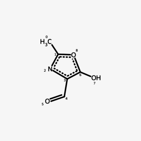 Cc1nc(C=O)c(O)o1